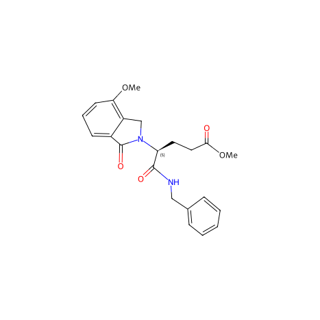 COC(=O)CC[C@@H](C(=O)NCc1ccccc1)N1Cc2c(OC)cccc2C1=O